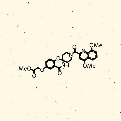 COC(=O)COc1ccc2c(c1)C(=O)NC1(CCN(C(=O)c3cc(OC)c4cccc(OC)c4n3)CC1)O2